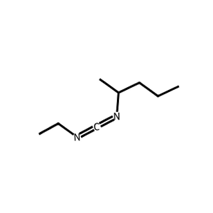 CCCC(C)N=C=NCC